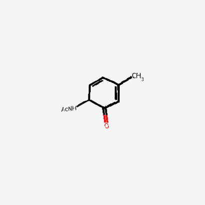 CC(=O)NC1C=CC(C)=CC1=O